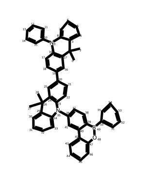 CC1(C)c2ccccc2N(c2ccccc2)c2ccc(-c3ccc4c(c3)C(C)(C)c3ccccc3N4c3ccc4c(c3)-c3ccccc3OB4c3ccccc3)cc21